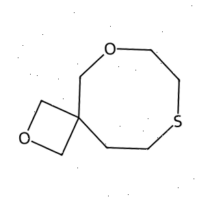 C1CSCCC2(CO1)COC2